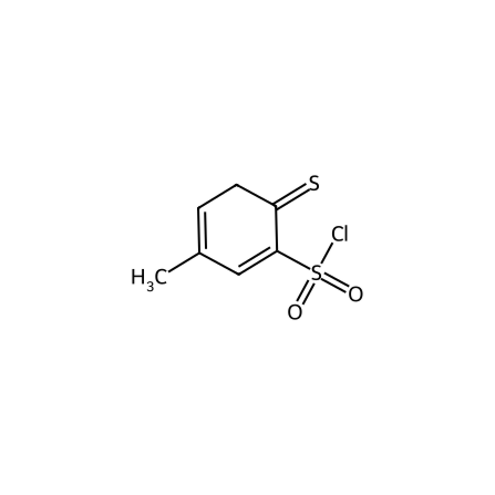 CC1=CCC(=S)C(S(=O)(=O)Cl)=C1